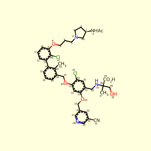 CC(=O)N[C@@H]1CCN(CCCOc2cccc(-c3cccc(COc4cc(OCc5cncc(C#N)c5)c(CNC(C)(CO)C(=O)O)cc4Cl)c3C)c2Cl)C1